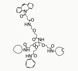 O=C(CCC(=O)N1Cc2ccccc2C#Cc2ccccc21)NCCOCCC(=O)NC(COCCC(=O)Nc1ccccccccc1)(COCCC(=O)NC1CCCCCCCC1)COCCC(=O)NC1CCCCCCCC1